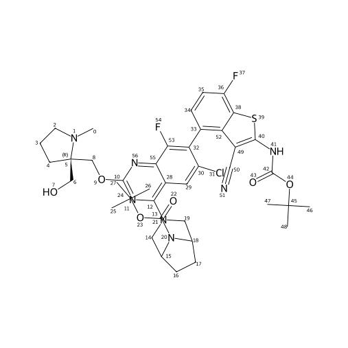 CN1CCC[C@@]1(CO)COc1nc(N2CC3CCC(C2)N3C(=O)OC(C)(C)C)c2cc(Cl)c(-c3ccc(F)c4sc(NC(=O)OC(C)(C)C)c(C#N)c34)c(F)c2n1